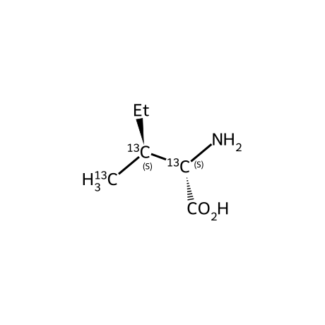 [13CH3][13CH2][13C@H]([13CH3])[13C@H](N)[13C](=O)O